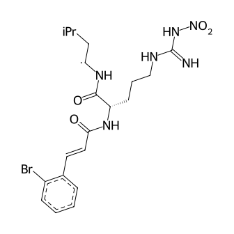 CC(C)C[CH]NC(=O)[C@H](CCCNC(=N)N[N+](=O)[O-])NC(=O)/C=C/c1ccccc1Br